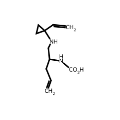 C=CCC(CNC1(C=C)CC1)NC(=O)O